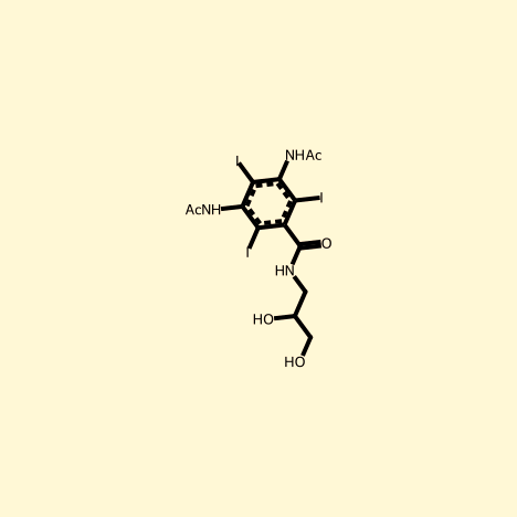 CC(=O)Nc1c(I)c(NC(C)=O)c(I)c(C(=O)NCC(O)CO)c1I